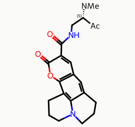 CN[C@@H](CNC(=O)c1cc2cc3c4c(c2oc1=O)CCCN4CCC3)C(C)=O